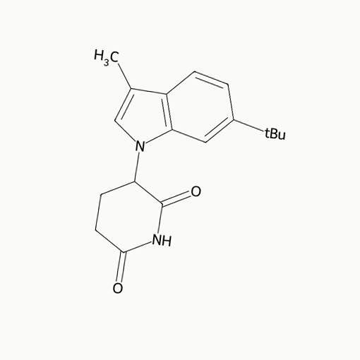 Cc1cn(C2CCC(=O)NC2=O)c2cc(C(C)(C)C)ccc12